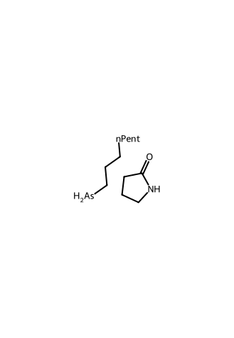 CCCCCCCC[AsH2].O=C1CCCN1